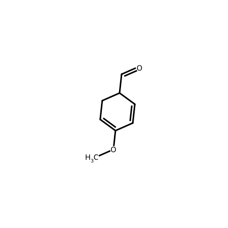 COC1=CCC(C=O)C=C1